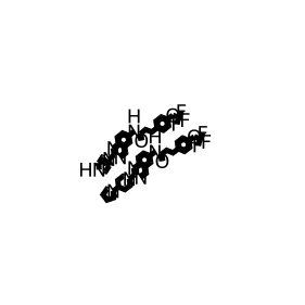 O=C(CCc1ccc(OC(F)(F)F)cc1)Nc1ccc2nc(N3CC4CC3CN4)ncc2c1.O=C(CCc1ccc(OC(F)(F)F)cc1)Nc1ccc2nc(N3CCC(N4CCCC4)CC3)ncc2c1